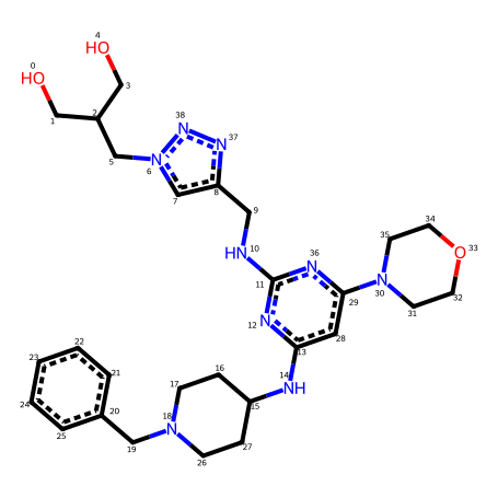 OCC(CO)Cn1cc(CNc2nc(NC3CCN(Cc4ccccc4)CC3)cc(N3CCOCC3)n2)nn1